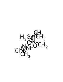 C=CC(=O)Nc1cc(Nc2ncc(Cl)c(C)n2)ccc1N(C)CCN(C)C